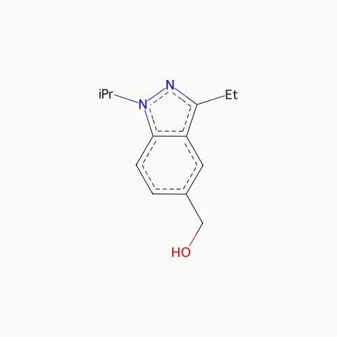 CCc1nn(C(C)C)c2ccc(CO)cc12